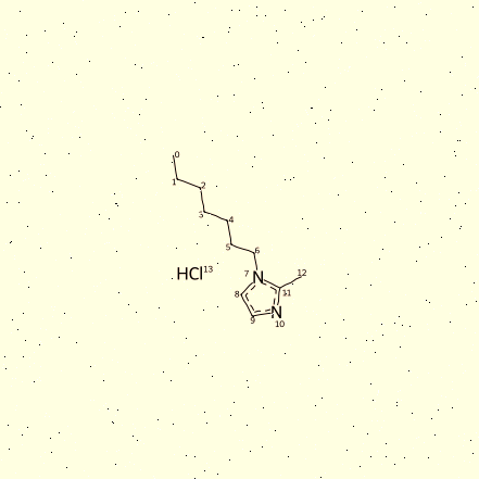 CCCCCCCn1ccnc1C.Cl